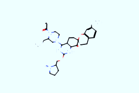 C=CC(=O)N1CCN(C2NC(OCC3CCCN3C)NC3C(=O)[C@]4(CCc5ccc(OC)cc5O4)CCC32)CC1CC#N